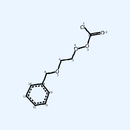 O=C(Cl)OOCCOCc1ccccc1